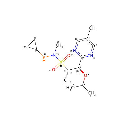 Cc1cnc([C@@H](OC(C)C)[C@H](C)S(=O)(=O)N(C)PC2CC2)nc1